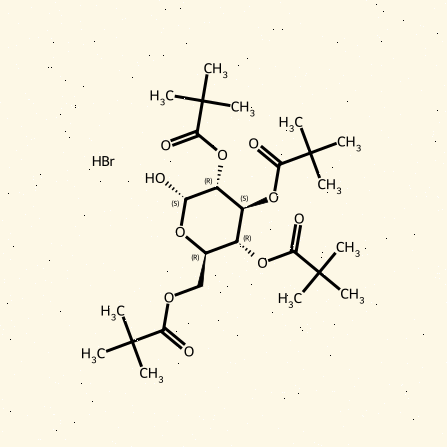 Br.CC(C)(C)C(=O)OC[C@H]1O[C@H](O)[C@H](OC(=O)C(C)(C)C)[C@@H](OC(=O)C(C)(C)C)[C@@H]1OC(=O)C(C)(C)C